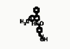 CN1CCC2=C(c3ccccc3)CCC(NC(=O)c3ccc(/C=N/O)cc3)C2C1